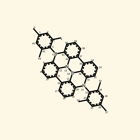 Cc1cc(C)c(B2c3cccc4c3N3B5c6c-4cccc6N(c4c(C)cc(C)cc4C)c4cccc(c45)-c4cccc2c43)c(C)c1